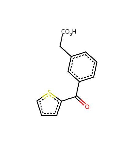 O=C(O)Cc1cccc(C(=O)c2cccs2)c1